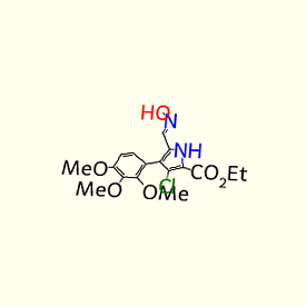 CCOC(=O)c1[nH]c(C=NO)c(-c2ccc(OC)c(OC)c2OC)c1Cl